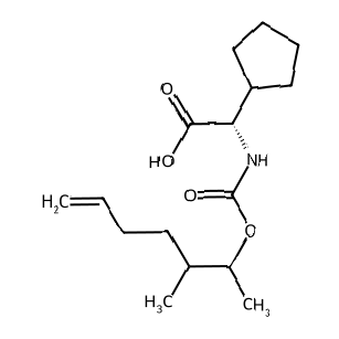 C=CCCC(C)C(C)OC(=O)N[C@H](C(=O)O)C1CCCC1